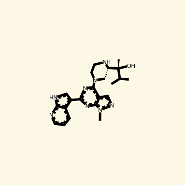 CC(C)[C@@](C)(O)[C@@H]1CN(c2nc(-c3c[nH]c4ncccc34)nc3c2cnn3C)CCN1